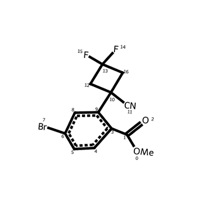 COC(=O)c1ccc(Br)cc1C1(C#N)CC(F)(F)C1